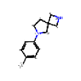 FC(F)(F)c1ccc(N2CCC3(CNC3)C2)cc1